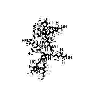 O=COCN(CCN(CCN(CC(=O)O)[C@@H](CC(=O)NCC(CNOCC(O)C(O)C(O)C(O)CO)(CNOCC(O)C(O)C(O)C(O)CO)CNOCC(O)C(O)C(O)C(O)CO)C(=O)O)CP(=O)(O)O)C(CN(CO)CC(CC(NO)C(O)C(O)C(O)C(O)CO)(CC(NO)C(O)C(O)C(O)C(O)CO)CC(NO)C(O)C(O)C(O)C(O)CO)OC=O